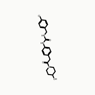 O=C(NCc1ccc(Cl)cc1)Nc1ccc(CC(=O)N2CCC(O)CC2)cc1